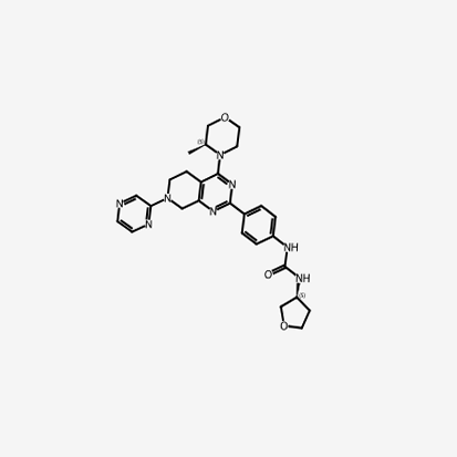 C[C@H]1COCCN1c1nc(-c2ccc(NC(=O)N[C@H]3CCOC3)cc2)nc2c1CCN(c1cnccn1)C2